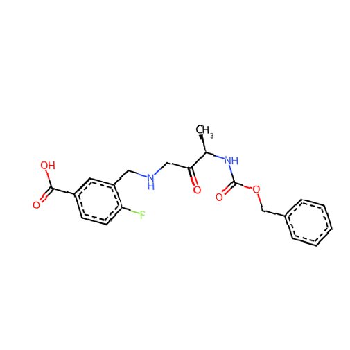 C[C@@H](NC(=O)OCc1ccccc1)C(=O)CNCc1cc(C(=O)O)ccc1F